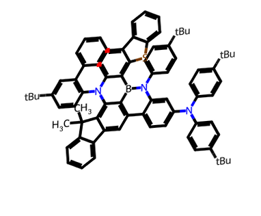 CC(C)(C)c1ccc(N2B3c4c(cc5c(c4N(c4ccc(C(C)(C)C)cc4-c4ccccc4)c4ccc6c(sc7ccccc76)c43)C(C)(C)c3ccccc3-5)-c3ccc(N(c4ccc(C(C)(C)C)cc4)c4ccc(C(C)(C)C)cc4)cc32)cc1